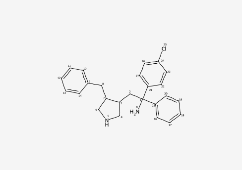 NC(CC1CNCC1Cc1ccccc1)(c1ccccc1)c1ccc(Cl)cc1